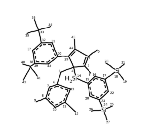 CC1=C(C)C(Cc2cc(C)cc(C)c2)([SiH2]c2cc([Si](C)(C)C)cc([Si](C)(C)C)c2)C(c2cc(C(C)(C)C)cc(C(C)(C)C)c2)=C1C